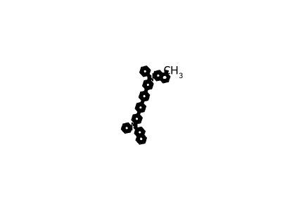 CC1CC=Cc2cc(N(c3ccccc3)c3ccc(-c4ccc(-c5ccc(-c6ccc(N(c7ccccc7)c7ccc8ccccc8c7)cc6)cc5)cc4)cc3)ccc21